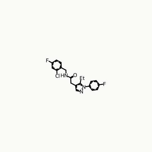 CCc1c(CC(=O)NCc2ccc(F)cc2Cl)cnn1-c1ccc(F)cc1